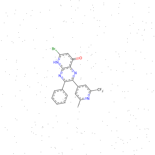 Cc1cc(-c2nc3c(=O)cc(Br)[nH]c3nc2-c2ccccc2)cc(C(F)(F)F)n1